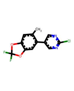 Cc1cc2c(cc1-c1cnc(Cl)nc1)OC(F)(F)O2